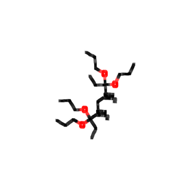 CCCOC(CC)(OCCC)[SiH2]C[SiH2]C(CC)(OCCC)OCCC